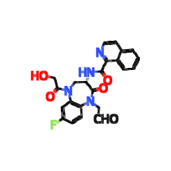 O=CCN1C(=O)[C@@H](NC(=O)c2nccc3ccccc23)CN(C(=O)CO)c2cc(F)ccc21